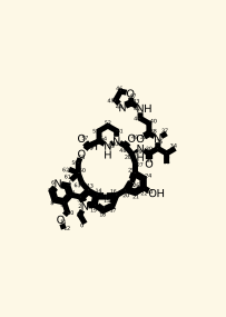 CCn1c(-c2cnccc2COC)c2c3cc(ccc31)-c1cc(O)cc(c1)C[C@H](NC(=O)C(C(C)C)N(C)C(=O)CCNC1=NCCO1)C(=O)N1CCC[C@H](N1)C(=O)OCC(C)(C)C2